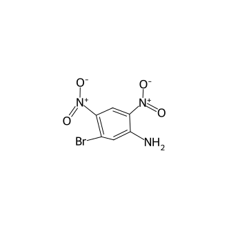 Nc1cc(Br)c([N+](=O)[O-])cc1[N+](=O)[O-]